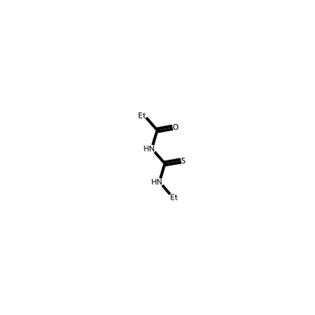 CCNC(=S)NC(=O)CC